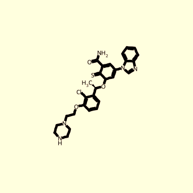 C[C@@H](OC1C=C(n2cnc3ccccc32)C=C(C(N)=O)C1=S)c1cccc(OCCN2CCNCC2)c1Cl